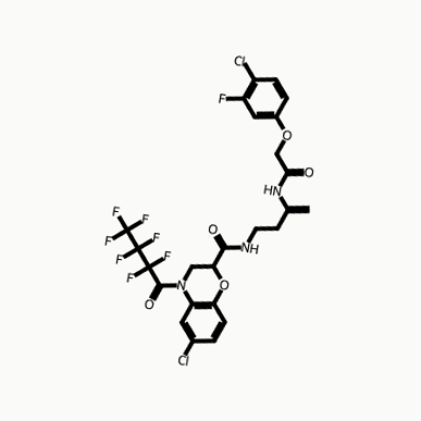 C=C(CCNC(=O)C1CN(C(=O)C(F)(F)C(F)(F)C(F)(F)F)c2cc(Cl)ccc2O1)NC(=O)COc1ccc(Cl)c(F)c1